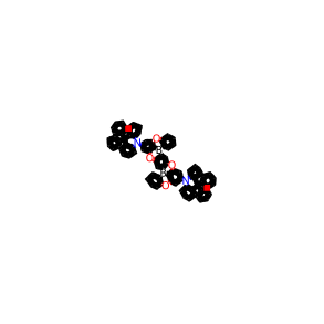 c1ccc(C2(c3ccccc3)c3ccccc3N(c3cc4c5c(c3)Oc3cc6c(cc3B5c3ccccc3O4)Oc3cc(N4c5ccccc5C(c5ccccc5)(c5ccccc5)c5ccccc54)cc4c3B6c3ccccc3O4)c3ccccc32)cc1